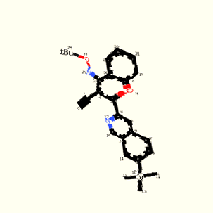 C#Cc1c(-c2cc3ccc([Si](C)(C)C)cc3cn2)oc2ccccc2c1=NOC(C)(C)C